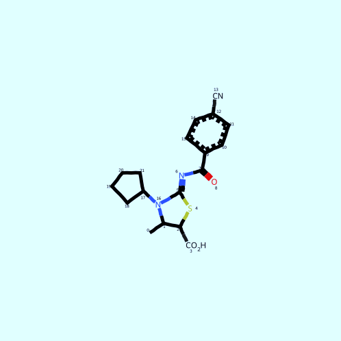 CC1C(C(=O)O)SC(=NC(=O)c2ccc(C#N)cc2)N1C1CCCC1